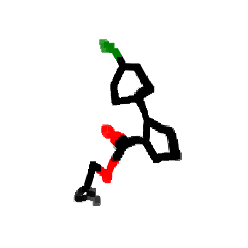 CCOC(=O)[C@@H]1CCC[C@@H]1C1CCC(Br)CC1